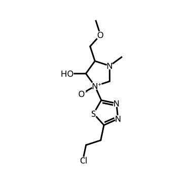 COCC1C(O)[N+]([O-])(c2nnc(CCCl)s2)CN1C